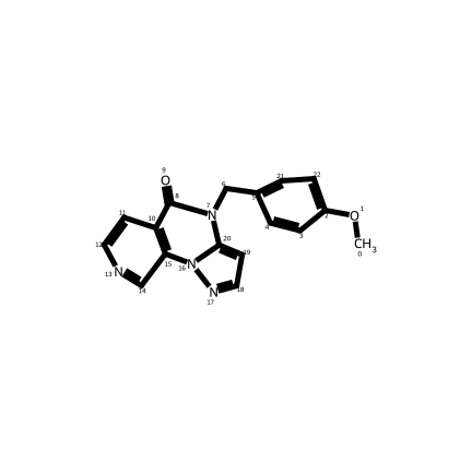 COc1ccc(Cn2c(=O)c3ccncc3n3nccc23)cc1